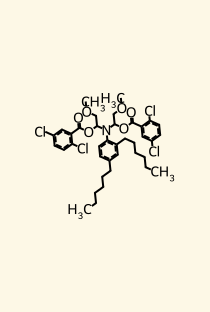 CCCCCCc1ccc(N(C(COC)OC(=O)c2cc(Cl)ccc2Cl)C(COC)OC(=O)c2cc(Cl)ccc2Cl)c(CCCCCC)c1